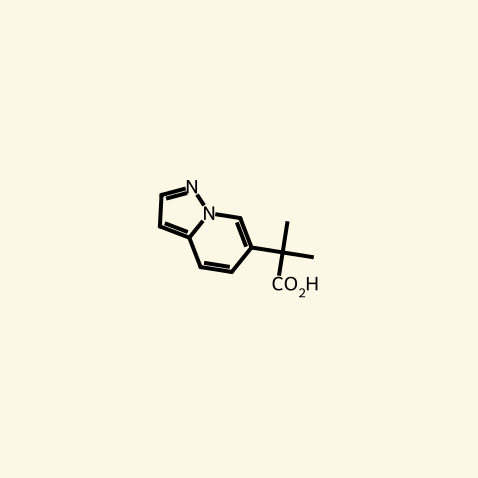 CC(C)(C(=O)O)c1ccc2ccnn2c1